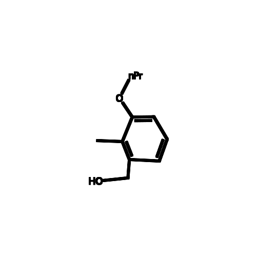 CCCOc1cccc(CO)c1C